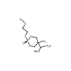 CCSCCSP1(=O)OCC(C)(C(OC)C(=O)O)CO1